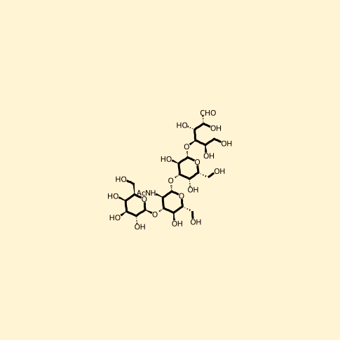 CC(=O)N[C@H]1[C@H](O[C@H]2[C@@H](O)[C@@H](CO)O[C@@H](O[C@@H]([C@H](O)[C@@H](O)C=O)[C@H](O)CO)[C@@H]2O)O[C@H](CO)[C@@H](O)[C@@H]1O[C@@H]1O[C@H](CO)[C@H](O)[C@H](O)[C@H]1O